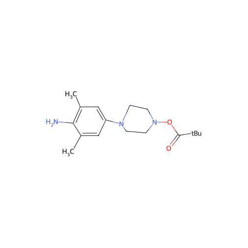 Cc1cc(N2CCN(OC(=O)C(C)(C)C)CC2)cc(C)c1N